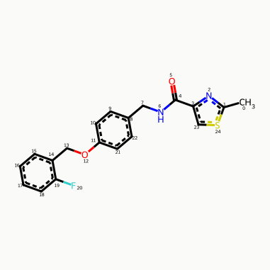 Cc1nc(C(=O)NCc2ccc(OCc3ccccc3F)cc2)cs1